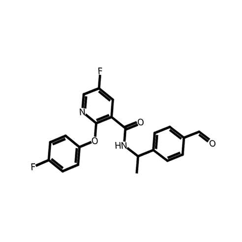 CC(NC(=O)c1cc(F)cnc1Oc1ccc(F)cc1)c1ccc(C=O)cc1